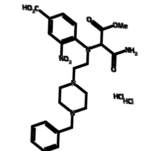 COC(=O)C(C(N)=O)N(CCN1CCN(Cc2ccccc2)CC1)c1ccc(C(=O)O)cc1[N+](=O)[O-].Cl.Cl